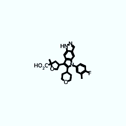 Cc1cc(-n2c(C3CCOCC3)c(C3CO[C@@](C)(C(=O)O)C3)c3cc4[nH]ncc4cc32)ccc1F